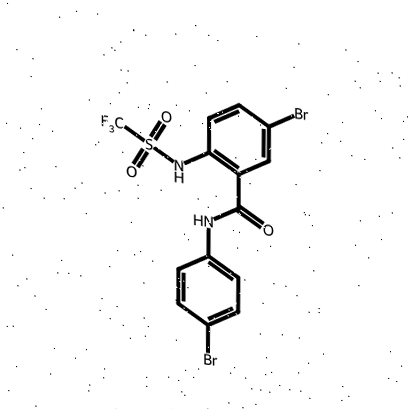 O=C(Nc1ccc(Br)cc1)c1cc(Br)ccc1NS(=O)(=O)C(F)(F)F